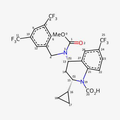 COC(=O)N(Cc1cc(C(F)(F)F)cc(C(F)(F)F)c1)[C@H]1C[C@@H](C2CC2)N(C(=O)O)c2ccc(C(F)(F)F)cc21